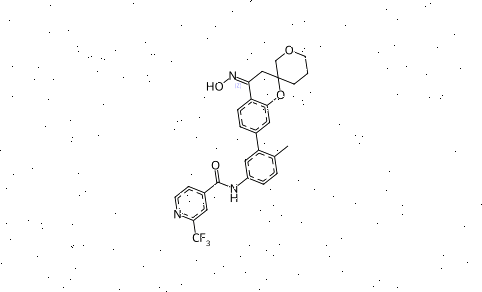 Cc1ccc(NC(=O)c2ccnc(C(F)(F)F)c2)cc1-c1ccc2c(c1)OC1(CCCOC1)C/C2=N/O